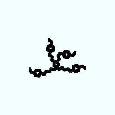 ICc1ccc(OCCOCC(COCCOc2ccc(CI)cc2)(COCCOc2ccc(CI)cc2)COCCOc2ccc(CI)cc2)cc1